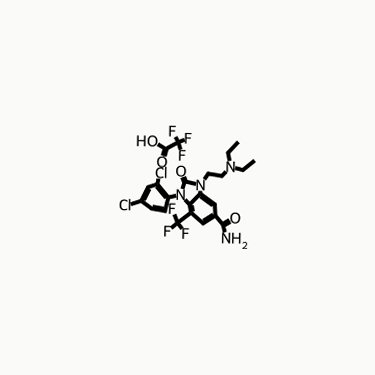 CCN(CC)CCn1c(=O)n(-c2ccc(Cl)cc2Cl)c2c(C(F)(F)F)cc(C(N)=O)cc21.O=C(O)C(F)(F)F